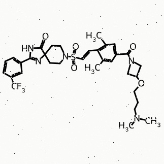 Cc1cc(C(=O)N2CC(OCCCN(C)C)C2)cc(C)c1C=CS(=O)(=O)N1CCC2(CC1)N=C(c1cccc(C(F)(F)F)c1)NC2=O